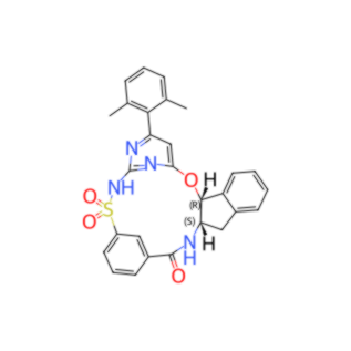 Cc1cccc(C)c1-c1cc2nc(n1)NS(=O)(=O)c1cccc(c1)C(=O)N[C@H]1Cc3ccccc3[C@H]1O2